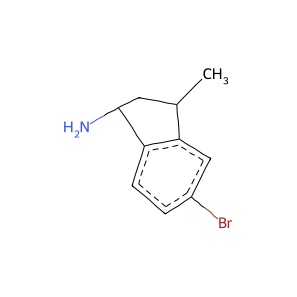 CC1CC(N)c2ccc(Br)cc21